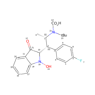 C[C@@H]([C@H](c1ccc(F)cc1)C1C(=O)c2ccccc2N1O)N(C(=O)O)C(C)(C)C